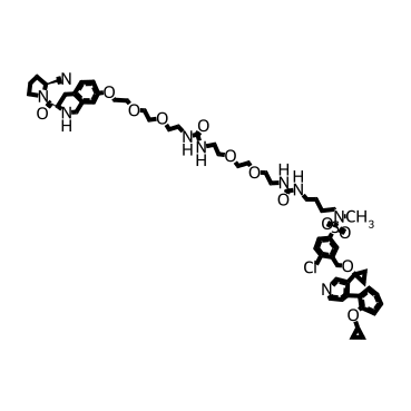 CN(CCCCNC(=O)NCCOCCOCCNC(=O)NCCOCCOCCOc1ccc2c(c1)CN[C@H](C(=O)N1CCC[C@H]1C#N)C2)S(=O)(=O)c1ccc(Cl)c(COC2(c3cnccc3-c3ccccc3OC3CC3)CC2)c1